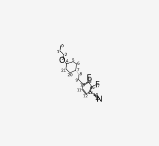 CCCO[C@H]1CC[C@H](CCc2ccc(C#N)c(F)c2F)CC1